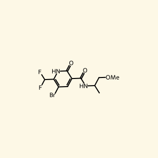 COCC(C)NC(=O)c1cc(Br)c(C(F)F)[nH]c1=O